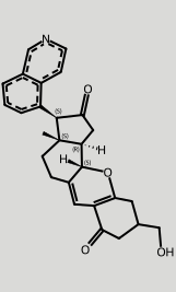 C[C@]12CCC3=CC4=C(CC(CO)CC4=O)O[C@H]3[C@@H]1CC(=O)[C@@H]2c1cccc2cnccc12